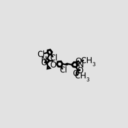 COC(=O)c1cc(C#Cc2ccc(OCc3c(-c4c(Cl)cccc4Cl)noc3C3CC3)cc2Cl)cc2oc(C)nc12